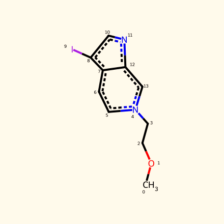 COCCn1ccc2c(I)cnc-2c1